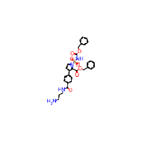 NCCCNC(=O)c1ccc(-c2ccn(S(=O)(=O)NC(=O)OCc3ccccc3)c2C(=O)OCc2ccccc2)cc1